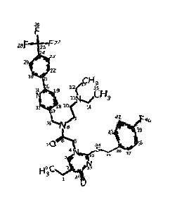 CCc1cn(CC(=O)N(CCN(CC)CC)Cc2ccc(-c3ccc(C(F)(F)F)cc3)nc2)c(SCc2ccc(F)cc2)nc1=O